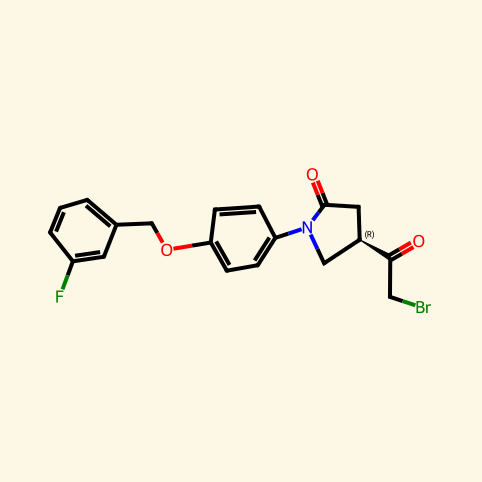 O=C(CBr)[C@@H]1CC(=O)N(c2ccc(OCc3cccc(F)c3)cc2)C1